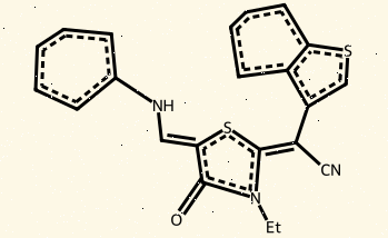 CCn1c(=C(C#N)c2csc3ccccc23)sc(=CNc2ccccc2)c1=O